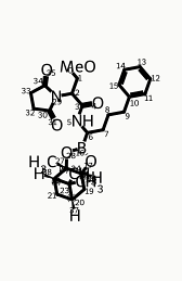 COCC(C(=O)NC(CCCc1ccccc1)B1O[C@@H]2C[C@@H]3C[C@@H](C3(C)C)[C@]2(C)O1)N1C(=O)CCC1=O